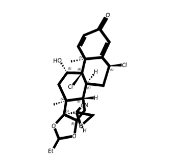 CCC1O[C@@H]2C[C@H]3[C@@H]4C[C@H](Cl)C5=CC(=O)C=C[C@]5(C)[C@@]4(Cl)[C@@H](O)C[C@]3(C)[C@]2(C2(C#N)CO2)O1